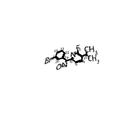 CC(C)c1ccc(C(N=O)c2cccc(Br)c2)nc1F